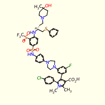 Cc1c(C(=O)O)c(-c2cc(F)cc(N3CCN(c4ccc(NS(=O)(=O)c5ccc(N[C@H](CCN6CCC(C)(O)CC6)CSc6ccccc6)c(S(=O)(=O)C(F)(F)F)c5)cc4)CC3)c2)c(-c2ccc(Cl)cc2)n1C